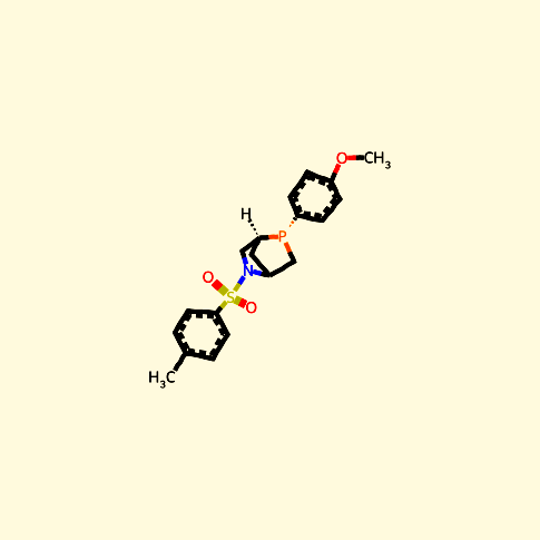 COc1ccc([P@]2CC3C[C@H]2CN3S(=O)(=O)c2ccc(C)cc2)cc1